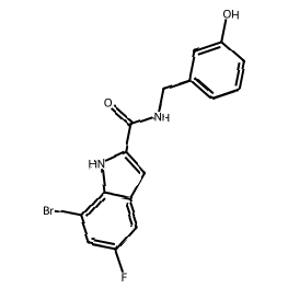 O=C(NCc1cccc(O)c1)c1cc2cc(F)cc(Br)c2[nH]1